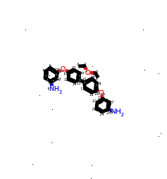 CCOCC.Nc1cccc(Oc2ccc(-c3ccc(Oc4cccc(N)c4)cc3)cc2)c1